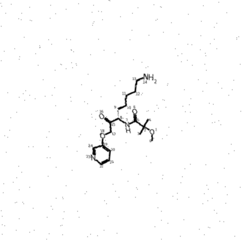 COC(C)(C)C(=O)N[C@@H](CCCCCN)C(=O)COc1cccnc1